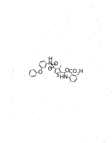 Cc1c(S(=O)(=O)Nc2cccc(Oc3ccccc3)c2)csc1C(=O)Nc1ccccc1C(=O)O